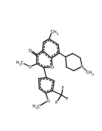 COc1ccc(-c2oc3c(C4CCN(C)CC4)cc(C)cc3c(=O)c2OC)cc1C(F)(F)F